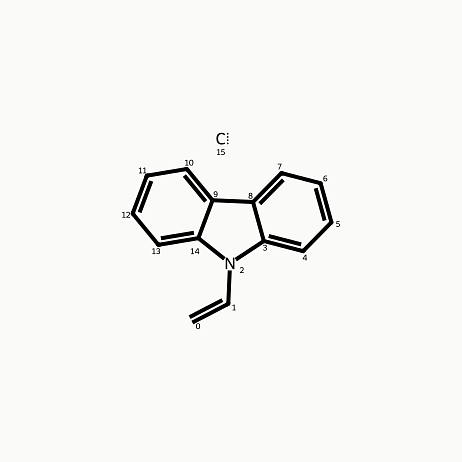 C=Cn1c2ccccc2c2ccccc21.[C]